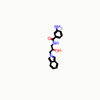 Nc1cccc(C(=O)NCC(O)Cn2cc3ccccc3c2)c1